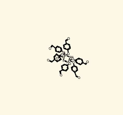 O=Cc1ccc(OP2(Oc3ccc(C=O)cc3)(Oc3ccc(C=O)cc3)N=PN(C=O)P(Oc3ccc(C=O)cc3)(Oc3ccc(C=O)cc3)(Oc3ccc(C=O)cc3)N2)cc1